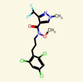 CON(CCCc1c(Cl)cc(Cl)cc1Cl)C(=O)c1cn(C)nc1C(F)F